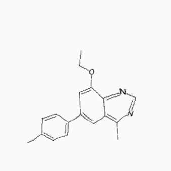 CCOc1cc(-c2ccc(C)cc2)cc2c(C)ncnc12